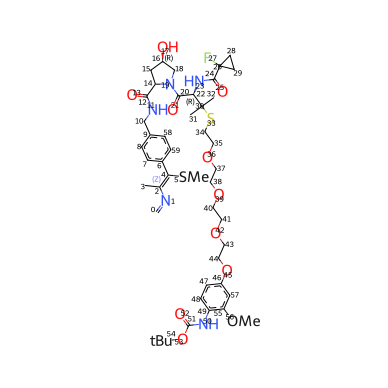 C=N/C(C)=C(\SC)c1ccc(CNC(=O)C2C[C@@H](O)CN2C(=O)[C@@H](NC(=O)C2(F)CC2)C(C)(C)SCCOCCOCCOCCOc2ccc(NC(=O)OC(C)(C)C)c(OC)c2)cc1